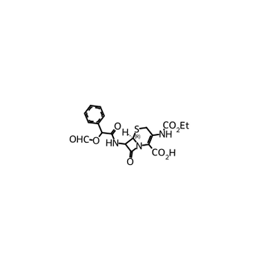 CCOC(=O)NC1=C(C(=O)O)N2C(=O)C(NC(=O)C(OC=O)c3ccccc3)[C@H]2SC1